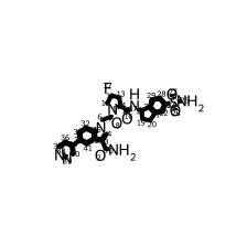 NC(=O)c1cn(CC(=O)N2CC(F)CC2C(=O)NC2CCc3cc(S(N)(=O)=O)ccc32)c2ccc(-c3ccnnc3)cc12